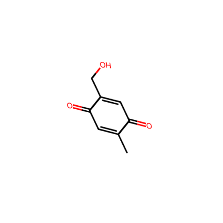 CC1=CC(=O)C(CO)=CC1=O